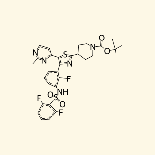 Cc1nccc(-c2sc(C3CCN(C(=O)OC(C)(C)C)CC3)nc2-c2cccc(NS(=O)(=O)c3c(F)cccc3F)c2F)n1